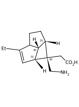 CCC1=C[C@@H]2[C@@H]3C1CC[C@@H]3[C@]2(CN)CC(=O)O